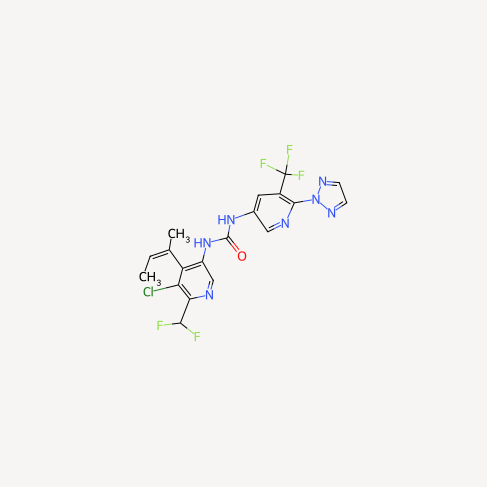 C/C=C(/C)c1c(NC(=O)Nc2cnc(-n3nccn3)c(C(F)(F)F)c2)cnc(C(F)F)c1Cl